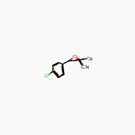 N#CC1(C#N)OC1c1ccc(Cl)cc1